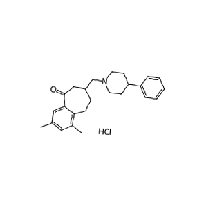 Cc1cc(C)c2c(c1)C(=O)CC(CN1CCC(c3ccccc3)CC1)CC2.Cl